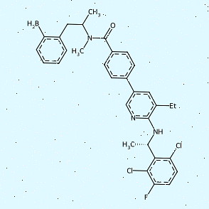 Bc1ccccc1CC(C)N(C)C(=O)c1ccc(-c2cnc(N[C@@H](C)c3c(Cl)ccc(F)c3Cl)c(CC)c2)cc1